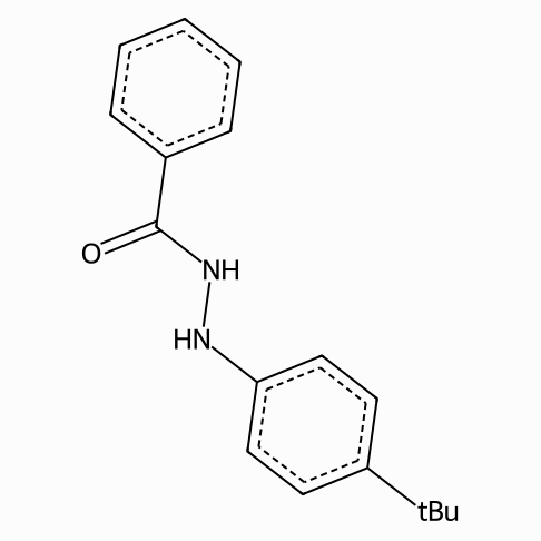 CC(C)(C)c1ccc(NNC(=O)c2ccccc2)cc1